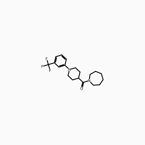 O=C(C1CCN(c2cccc(C(F)(F)F)c2)CC1)N1CCCCCC1